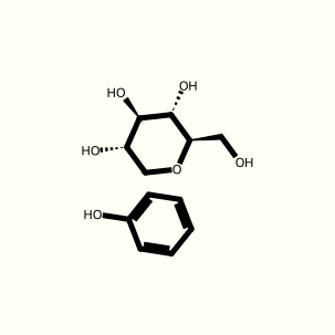 OC[C@H]1O[CH][C@H](O)[C@@H](O)[C@@H]1O.Oc1ccccc1